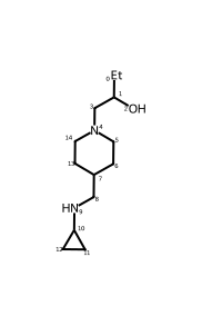 CCC(O)CN1CCC(CNC2CC2)CC1